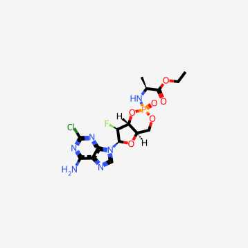 CCOC(=O)[C@H](C)NP1(=O)OC[C@H]2O[C@@H](n3cnc4c(N)nc(Cl)nc43)[C@@H](F)[C@@H]2O1